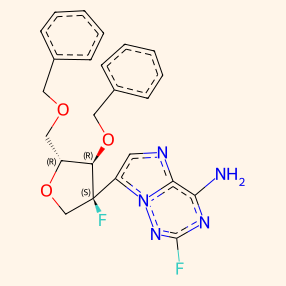 Nc1nc(F)nn2c([C@]3(F)CO[C@H](COCc4ccccc4)[C@H]3OCc3ccccc3)cnc12